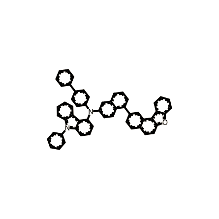 c1ccc(-c2ccc(N(c3ccc4c(-c5ccc6ccc7oc8ccccc8c7c6c5)cccc4c3)c3cccc4c3c3ccccc3n4-c3ccccc3)cc2)cc1